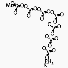 P.[K+].[Mo+6].[O]=[V](=[O])[O-].[O]=[V](=[O])[O-].[O]=[V](=[O])[O-].[O]=[V](=[O])[O-].[O]=[V](=[O])[O-].[O]=[V](=[O])[O-].[O]=[V](=[O])[O-]